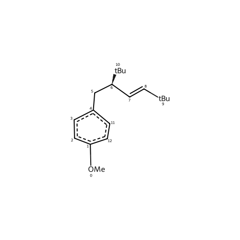 COc1ccc(C[C@H](/C=C/C(C)(C)C)C(C)(C)C)cc1